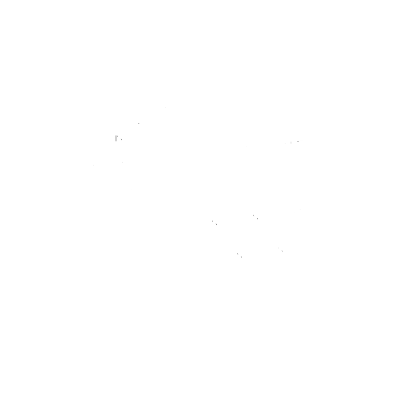 CCCCCCCCCCCCCOC(CCNc1nc(Cl)nc(Cl)n1)C1CC(C)(C)NC(C)(C)C1